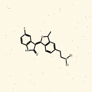 CCN(CC)CCc1ccc2c(c1)C(C)OC2=C1C(=O)Nc2ccc(F)cc21